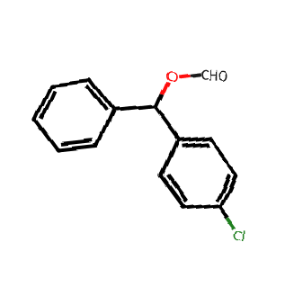 O=COC(c1ccccc1)c1ccc(Cl)cc1